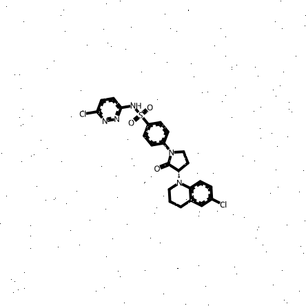 O=C1[C@@H](N2CCCc3cc(Cl)ccc32)CCN1c1ccc(S(=O)(=O)Nc2ccc(Cl)nn2)cc1